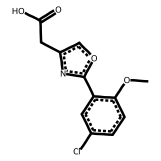 COc1ccc(Cl)cc1-c1nc(CC(=O)O)co1